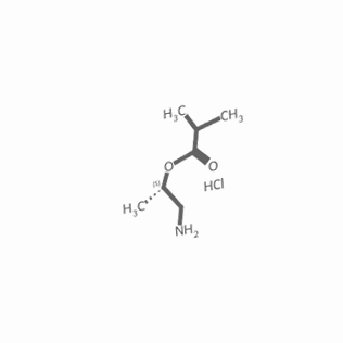 CC(C)C(=O)O[C@@H](C)CN.Cl